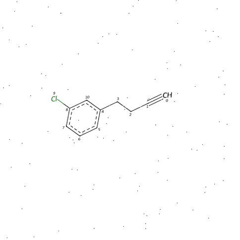 C#CCCc1cccc(Cl)c1